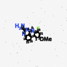 COc1ccc(N(C)c2nc(CN)nc3ccccc23)c(F)c1